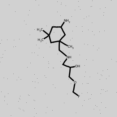 CC1(C)CC(N)CC(C)(CNCC(O)COCF)C1